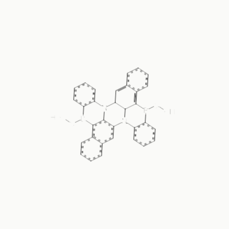 CSB1C2=c3ccccc3=CC3C2N(c2ccccc21)c1cc2ccccc2c2c1N3c1ccccc1B2SC